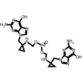 Nc1nc(O)c2ncn(CC3(NCO[PH](=O)OCNC4(Cn5cnc6c(O)nc(N)nc65)CC4)CC3)c2n1